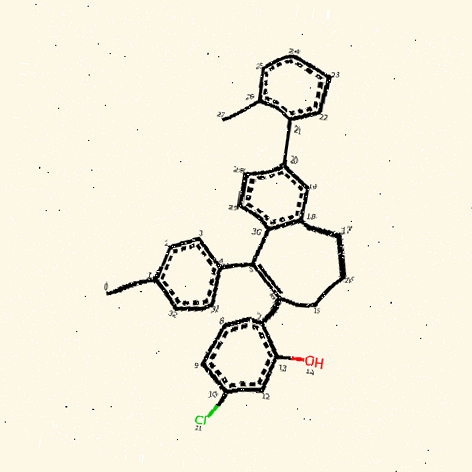 Cc1ccc(C2=C(c3ccc(Cl)cc3O)CCCc3cc(-c4ccccc4C)ccc32)cc1